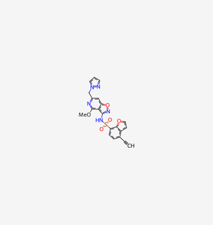 C#Cc1ccc(S(=O)(=O)Nc2noc3cc(Cn4cccn4)nc(OC)c23)c2occc12